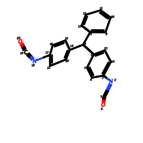 O=C=Nc1ccc(C(c2ccccc2)c2ccc(N=C=O)cc2)cc1